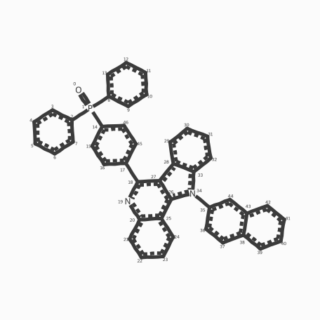 O=P(c1ccccc1)(c1ccccc1)c1ccc(-c2nc3ccccc3c3c2c2ccccc2n3-c2ccc3ccccc3c2)cc1